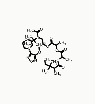 CCC(C)(C)C(C)C(=O)OC(C)C(=O)OC(C)C(=O)O[C@H](COc1nsnc1N1CCOCC1)CN(C(C)=O)C(C)(C)C